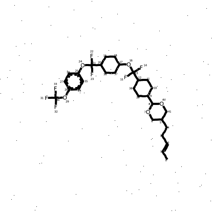 C/C=C/CCC1COC(C2CCC(C(F)(F)OC3CCC(C(F)(F)Oc4ccc(OC(F)(F)F)cc4)CC3)CC2)OC1